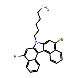 CCCCCCn1c2cc(Br)c3ccccc3c2c2c3ccccc3c(Br)cc21